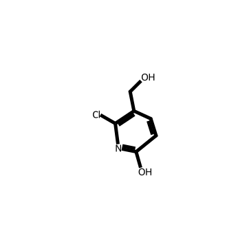 OCc1ccc(O)nc1Cl